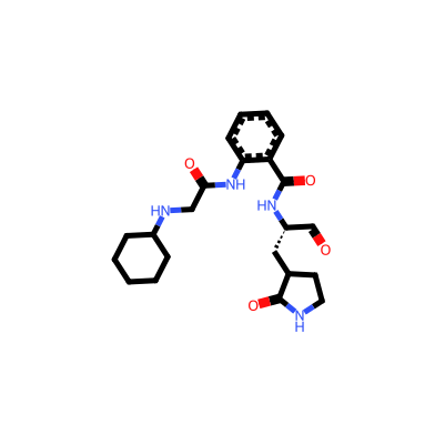 O=C[C@H](CC1CCNC1=O)NC(=O)c1ccccc1NC(=O)CNC1CCCCC1